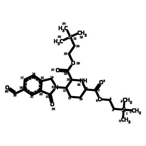 C[Si](C)(C)CCOC(=O)C1CCC(N2Cc3ccc(C=O)cc3C2=O)C(C(=O)OCC[Si](C)(C)C)N1